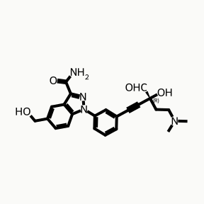 CN(C)CC[C@@](O)(C#Cc1cccc(-n2nc(C(N)=O)c3cc(CO)ccc32)c1)C=O